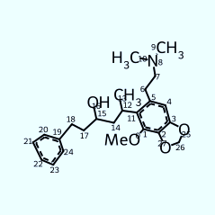 COc1c2c(cc(CCN(C)C)c1C(C)CC(O)CCc1ccccc1)OCO2